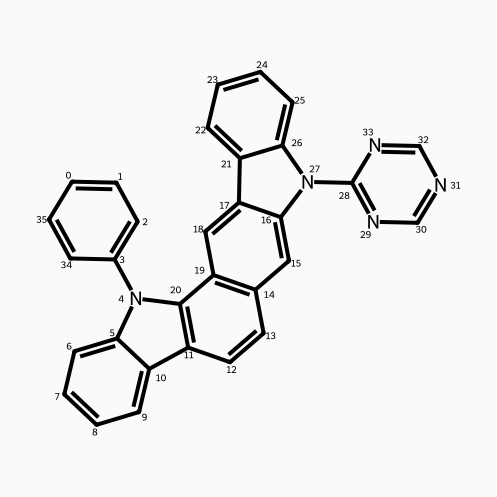 c1ccc(-n2c3ccccc3c3ccc4cc5c(cc4c32)c2ccccc2n5-c2ncncn2)cc1